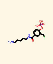 NCCCCCNC(=O)c1ccc(OP(=O)(O)O)c(CF)c1